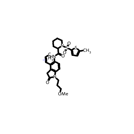 C/C=C\c1c(NC(=O)C2CCCCN2S(=O)(=O)c2ccc(C)s2)ccc2c1CC(=O)N2CCCOC